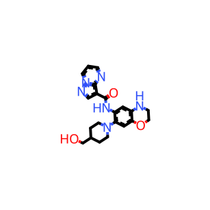 O=C(Nc1cc2c(cc1N1CCC(CO)CC1)OCCN2)c1cnn2cccnc12